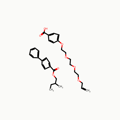 C=CCOCCOCCOCCOc1ccc(C(=O)O)cc1.CCC(C)COC(=O)c1ccc(-c2ccccc2)cc1